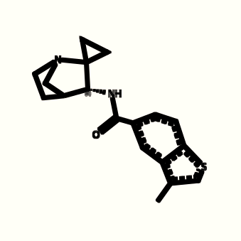 Cc1csc2ccc(C(=O)N[C@@H]3C4CCN(C4)C34CC4)cc12